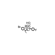 CC[C@@H](c1ccc(Br)cc1)N1CC[C@](CC(O)CO)(c2ccc(F)cc2)OC1=O